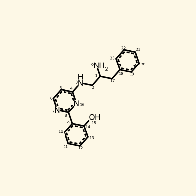 NC(CNc1ccnc(-c2ccccc2O)n1)Cc1ccccc1